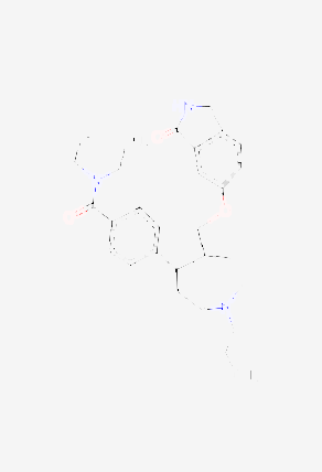 CCCN1CCC(COc2ccc3c(c2)C(=O)NC3)C(c2ccc(C(=O)N(CC)CC)cc2)CC1